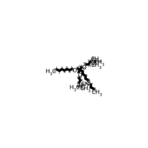 CCCCCCCCOCC(CCCCCOCCCC)(COCCC[N+](C)(C)C)COCCC[N+](C)(C)C